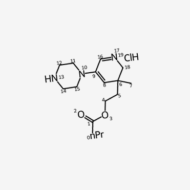 CCCC(=O)OCCC1(C)C=C(N2CCNCC2)C=NC1.Cl